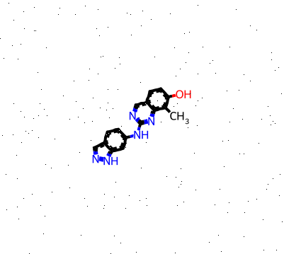 Cc1c(O)ccc2cnc(Nc3ccc4cn[nH]c4c3)nc12